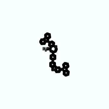 C=C1/C=C(/c2ccc(-c3ccc4oc5ccc(-n6c7ccccc7c7ccccc76)cc5c4c3)cc2)C=COc2ccc(-n3c4ccccc4c4ccccc43)cc21